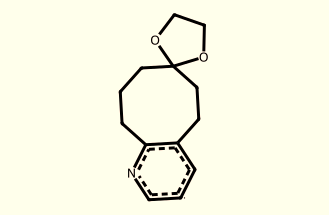 [c]1cnc2c(c1)CCC1(CCC2)OCCO1